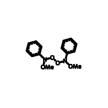 CON(OON(OC)c1ccccc1)c1ccccc1